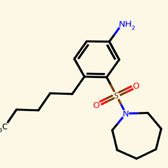 CCCCCc1ccc(N)cc1S(=O)(=O)N1CCCCCC1